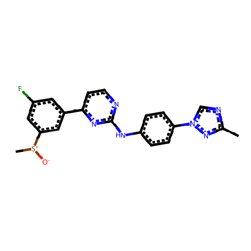 Cc1ncn(-c2ccc(Nc3nccc(-c4cc(F)cc([S+](C)[O-])c4)n3)cc2)n1